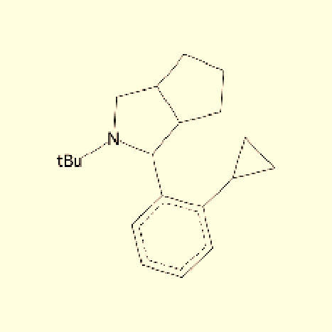 CC(C)(C)N1CC2CCCC2C1c1ccccc1C1CC1